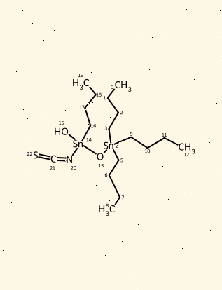 CCC[CH2][Sn]([CH2]CCC)([CH2]CCC)[O][Sn]([OH])([CH2]CCC)[N]=C=S